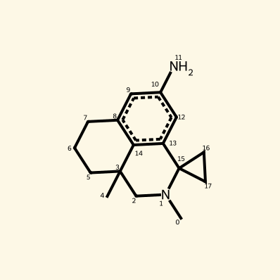 CN1CC2(C)CCCc3cc(N)cc(c32)C12CC2